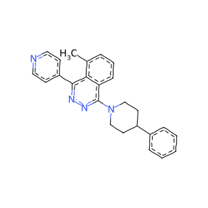 Cc1cccc2c(N3CCC(c4ccccc4)CC3)nnc(-c3ccncc3)c12